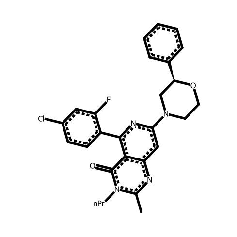 CCCn1c(C)nc2cc(N3CCO[C@H](c4ccccc4)C3)nc(-c3ccc(Cl)cc3F)c2c1=O